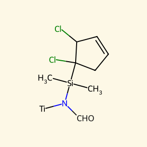 C[Si](C)([N]([Ti])C=O)C1(Cl)CC=CC1Cl